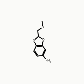 COCC1Oc2ccc(N)cc2O1